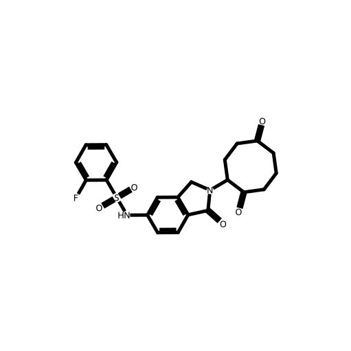 O=C1CCCC(=O)C(N2Cc3cc(NS(=O)(=O)c4ccccc4F)ccc3C2=O)CC1